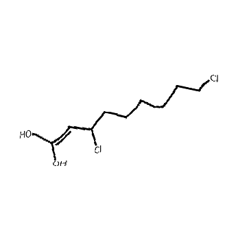 OC(O)=CC(Cl)CCCCCCCl